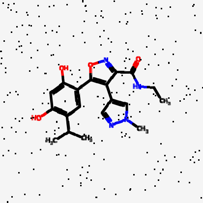 CCNC(=O)c1noc(-c2cc(C(C)C)c(O)cc2O)c1-c1cnn(C)c1